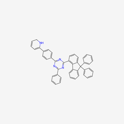 C1=CCNC(c2ccc(-c3nc(-c4ccccc4)nc(-c4cccc5c4-c4ccccc4C5(c4ccccc4)c4ccccc4)n3)cc2)=C1